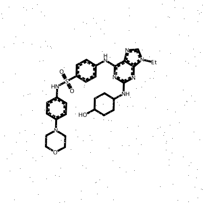 CCn1cnc2c(Nc3ccc(S(=O)(=O)Nc4ccc(N5CCOCC5)cc4)cc3)nc(NC3CCC(O)CC3)nc21